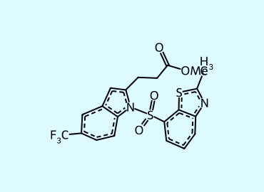 COC(=O)CCc1cc2cc(C(F)(F)F)ccc2n1S(=O)(=O)c1cccc2nc(C)sc12